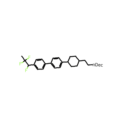 CCCCCCCCCCCCC1CCC(c2ccc(-c3ccc(C(F)C(C)(F)F)cc3)cc2)CC1